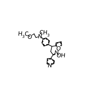 COCCN(C)c1ccc(C(CC(=NO)c2ccncc2)c2ccco2)cc1